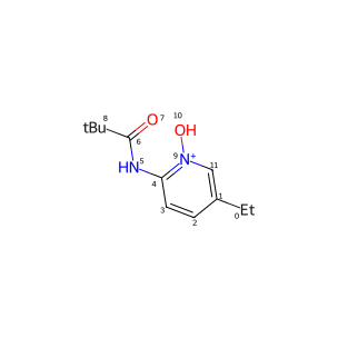 CCc1ccc(NC(=O)C(C)(C)C)[n+](O)c1